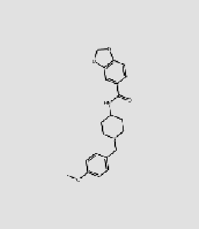 COc1ccc(CN2CCC(NC(=O)c3ccc4c(c3)OCO4)CC2)cc1